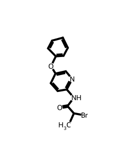 CC(Br)C(=O)Nc1ccc(Oc2ccccc2)cn1